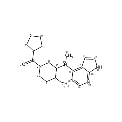 CC1CCN(C(=O)C2CCCC2)CC1N(C)c1ncnc2[nH]ccc12